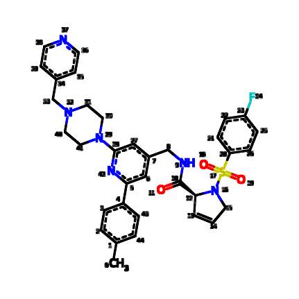 Cc1ccc(-c2cc(CNC(=O)[C@@H]3C=CCN3S(=O)(=O)c3ccc(F)cc3)cc(N3CCN(Cc4ccncc4)CC3)n2)cc1